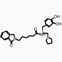 O=C(CCCCCN1Cc2ccccc2C1=O)N[C@@H](Cc1ccc(O)c(O)c1)CN1CCCC1